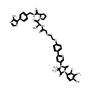 Cc1ncsc1-c1ccc(CNC(=O)C2CCCN2C(=O)C(NC(=O)COCCOc2ccc(-c3ccc(N4C(=S)N(c5ccc(C#N)c(C(F)(F)F)c5F)C(=O)C4(C)C)cn3)cc2)C(C)(C)C)cc1